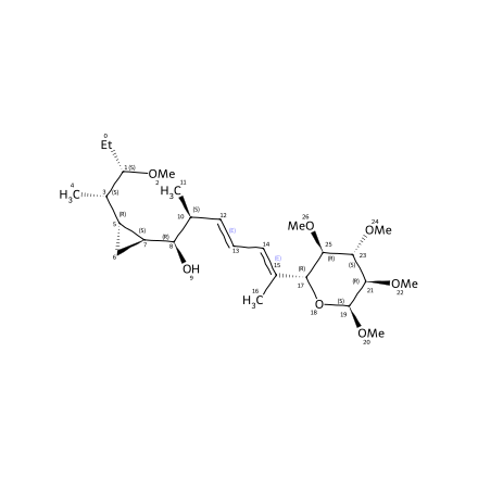 CC[C@H](OC)[C@@H](C)[C@H]1C[C@@H]1[C@H](O)[C@@H](C)/C=C/C=C(\C)[C@H]1O[C@H](OC)[C@H](OC)[C@@H](OC)[C@@H]1OC